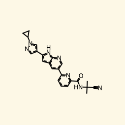 CC(C)(C#N)NC(=O)c1cccc(-c2cnc3[nH]c(-c4cnn(C5CC5)c4)cc3c2)n1